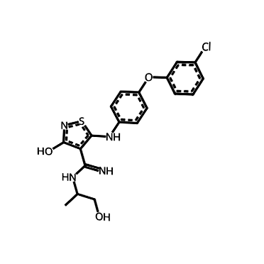 CC(CO)NC(=N)c1c(O)nsc1Nc1ccc(Oc2cccc(Cl)c2)cc1